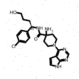 NC1(C(=O)N[C@H](CCCO)c2ccc(Cl)cc2)CCN(c2ncnc3[nH]ccc23)CC1